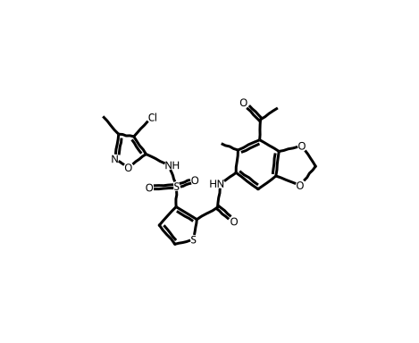 CC(=O)c1c(C)c(NC(=O)c2sccc2S(=O)(=O)Nc2onc(C)c2Cl)cc2c1OCO2